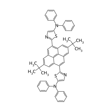 CC(C)(C)c1cc2cc(-c3ncc(N(c4ccccc4)c4ccccc4)s3)c3cc(C(C)(C)C)cc4cc(-c5ncc(N(c6ccccc6)c6ccccc6)s5)c(c1)c2c43